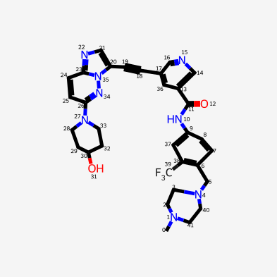 CN1CCN(Cc2ccc(NC(=O)c3cncc(C#Cc4cnc5ccc(N6CCC(O)CC6)nn45)c3)cc2C(F)(F)F)CC1